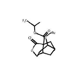 CCC(C)OC1C2CC3C1OC(=O)C3(C(=O)OC(C)C(F)(F)F)C2